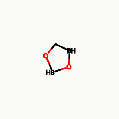 B1COBO1